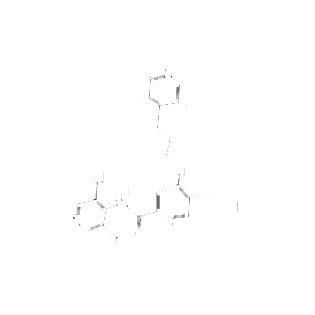 COc1ccc(C(=O)Nc2c(Cl)cncc2Cl)cc1OCCCc1ccncc1